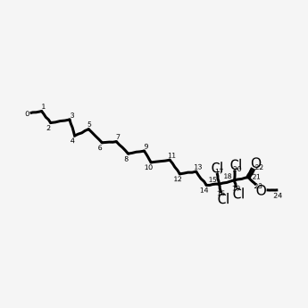 CCCCCCCCCCCCCCCC(Cl)(Cl)C(Cl)(Cl)C(=O)OC